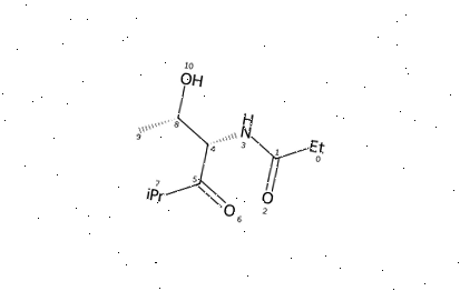 CCC(=O)N[C@H](C(=O)C(C)C)[C@H](C)O